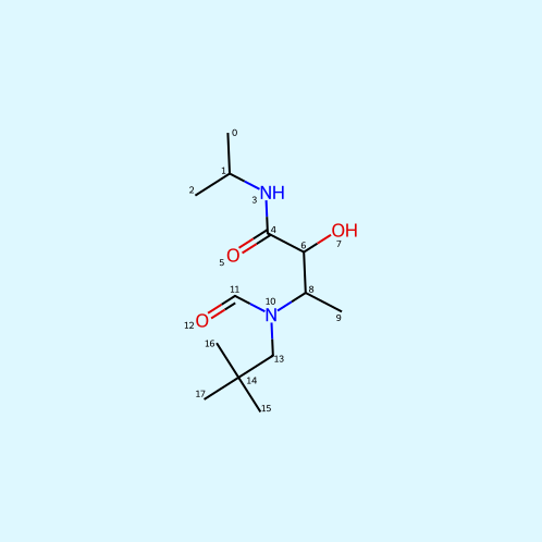 CC(C)NC(=O)C(O)C(C)N(C=O)CC(C)(C)C